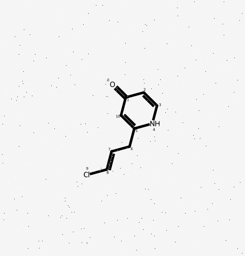 O=c1cc[nH]c(CC=CCl)c1